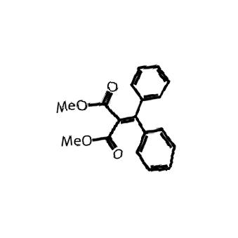 COC(=O)C(C(=O)OC)=C(c1ccccc1)c1ccccc1